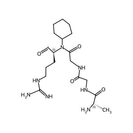 C[C@H](N)C(=O)NCC(=O)NCC(=O)N(C1CCCCC1)[C@H]([C]=O)CCCNC(=N)N